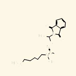 CC(ON=[N+]([O-])N(C)CCCCCC(=O)O)N1C(=O)c2ccccc2C1=O